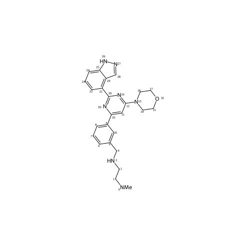 CNCCNCc1cccc(-c2cc(N3CCOCC3)nc(-c3cccc4[nH]ncc34)n2)c1